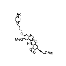 COCC#Cc1cc(Cl)c(Nc2ncnc3cc(OCCCCN4CCN(C(C)=O)CC4)c(OC)cc23)c2c1OCO2